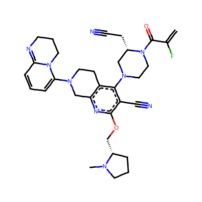 C=C(F)C(=O)N1CCN(c2c(C#N)c(OC[C@@H]3CCCN3C)nc3c2CCN(C2=CC=CC4=NCCCN24)C3)C[C@@H]1CC#N